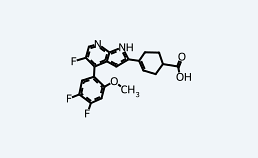 COc1cc(F)c(F)cc1-c1c(F)cnc2[nH]c(C3=CCC(C(=O)O)CC3)cc12